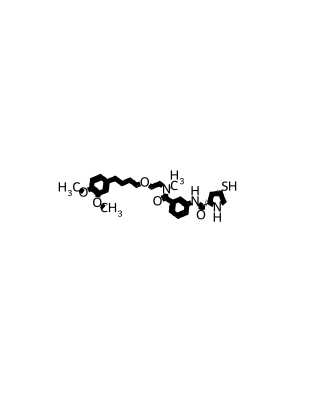 COc1ccc(CCCCOCCN(C)C(=O)c2cccc(NC(=O)[C@@H]3C[C@H](S)CN3)c2)cc1OC